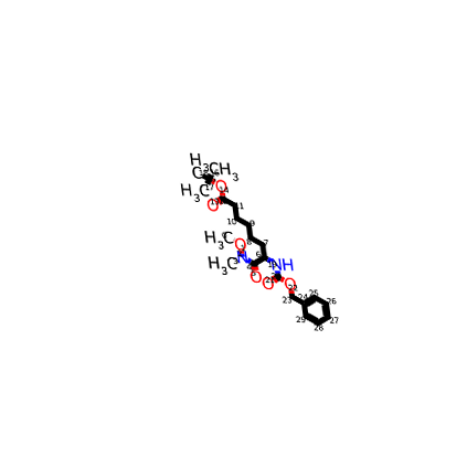 CON(C)C(=O)C(CCCCCC(=O)OC(C)(C)C)NC(=O)OCc1ccccc1